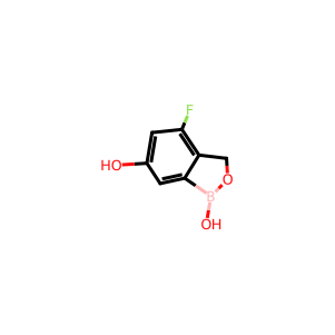 OB1OCc2c(F)cc(O)cc21